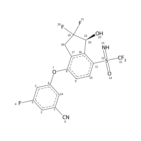 N#Cc1cc(F)cc(Oc2ccc(S(=N)(=O)C(F)(F)F)c3c2CC(F)(F)[C@H]3O)c1